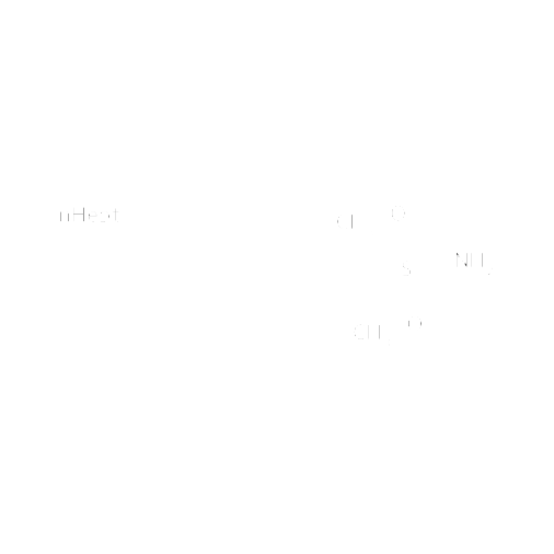 CCCCCCCCCCCC(C)(C)S(N)(=O)=O